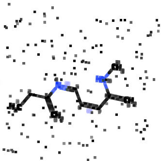 C=C(CC)/N=C\C=C/C(=C)NC